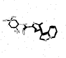 Cc1sc(C(=O)N[C@H]2CS(O)(O)CC[C@@H]2N)cc1-c1cnn2ccccc12